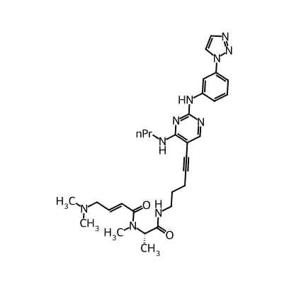 CCCNc1nc(Nc2cccc(-n3ccnn3)c2)ncc1C#CCCCNC(=O)[C@H](C)N(C)C(=O)/C=C/CN(C)C